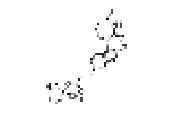 CC(C)(C)OC(=O)CCc1ccc2c(c1)oc(=O)n2C1CCCC(=O)NC1=O